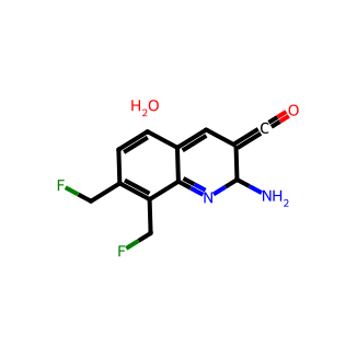 NC1N=c2c(CF)c(CF)ccc2=CC1=C=O.O